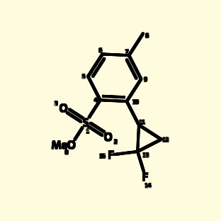 COS(=O)(=O)c1ccc(C)cc1C1CC1(F)F